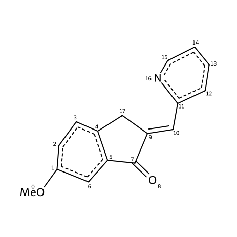 COc1ccc2c(c1)C(=O)C(=Cc1ccccn1)C2